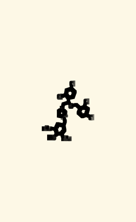 CCCCc1cc(C[n+]2ccn(CC(OCc3ccc(Cl)cc3Cl)c3ccc(Cl)cc3Cl)c2)cc(CCCC)c1O